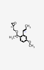 C/C=C/c1cc(OC)ccc1[C@@H](C)OC[C@H]1CO1